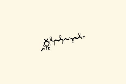 CCOP1(=O)OCC(C)(C)[C@H](C(=O)NCCC(=O)NCCSC(=O)/C=C/C(=O)OC)O1